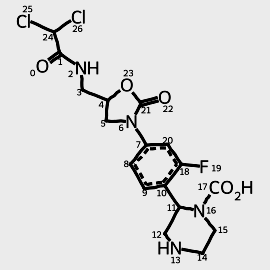 O=C(NCC1CN(c2ccc(C3CNCCN3C(=O)O)c(F)c2)C(=O)O1)C(Cl)Cl